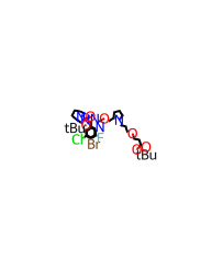 CC(C)(C)OC(=O)CCOCCCN1CCCC1COc1nc(N2CC3CCC(C2)N3C(=O)OC(C)(C)C)c2cc(Cl)c(Br)c(F)c2n1